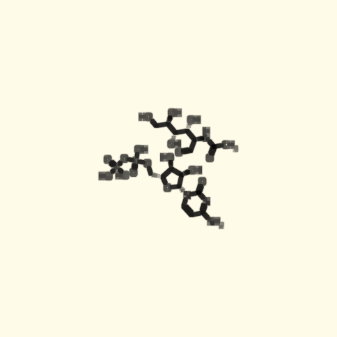 CC(=O)N[C@@H](C=O)[C@@H](O)[C@H](O)[C@H](O)CO.Nc1ccn([C@@H]2O[C@H](COP(=O)(O)OP(=O)(O)O)[C@@H](O)[C@H]2O)c(=O)n1